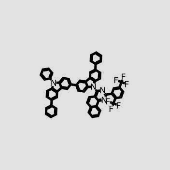 FC(F)(F)c1ccc(C(F)(F)F)c(-c2nc(-n3c4ccc(-c5ccccc5)cc4c4cc(-c5ccc6c(c5)c5cc(-c7ccccc7)ccc5n6-c5ccccc5)ccc43)c3ccc4ccccc4c3n2)c1